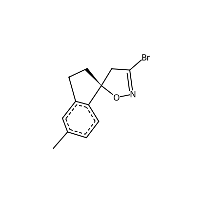 Cc1ccc2c(c1)CC[C@]21CC(Br)=NO1